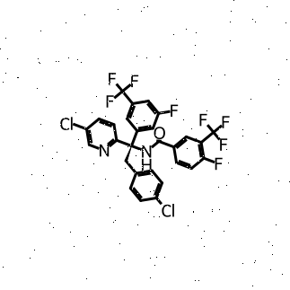 O=C(N[C@@](Cc1ccc(Cl)cc1)(c1cc(F)cc(C(F)(F)F)c1)c1ccc(Cl)cn1)c1ccc(F)c(C(F)(F)F)c1